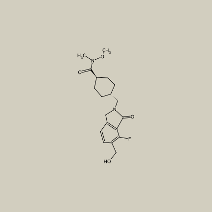 CON(C)C(=O)[C@H]1CC[C@H](CN2Cc3ccc(CO)c(F)c3C2=O)CC1